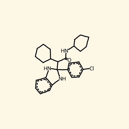 O=C(NC1CCCCC1)C(C1CCCCC1)C1(c2ccc(Cl)cc2)Nc2ccccc2N1